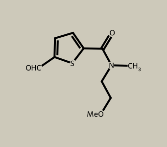 COCCN(C)C(=O)c1ccc(C=O)s1